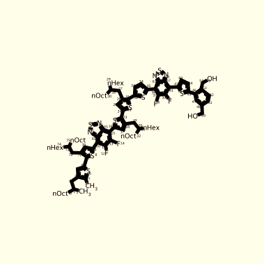 CCCCCCCCC(C)Cc1cc(-c2sc(-c3c(F)c(F)c(-c4cc(CC(CCCCCC)CCCCCCCC)c(-c5cc(CC(CCCCCC)CCCCCCCC)c(-c6ccc(-c7c(F)c(F)c(-c8ccc(-c9cc(CO)ccc9CO)s8)c8nsnc78)s6)s5)s4)c4nsnc34)cc2CC(CCCCCC)CCCCCCCC)sc1C